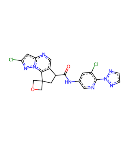 O=C(Nc1cnc(-n2nccn2)c(Cl)c1)C1CC2(COC2)c2c1cnc1cc(Cl)nn21